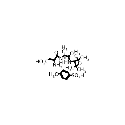 C[C@@H](NC(=O)[C@@H](N)CC(=O)O)C(=O)NC1C(C)(C)OC1(C)C.Cc1ccc(S(=O)(=O)O)cc1